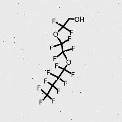 OCC(F)(F)OC(F)(F)C(F)(F)OC(F)(F)C(F)(F)C(F)(F)C(F)(F)F